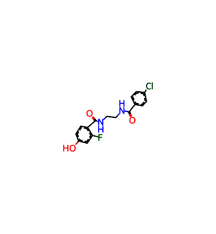 O=C(NCCNC(=O)c1ccc(O)cc1F)c1ccc(Cl)cc1